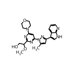 COC(CO)c1nc(N2CCOCC2)cc(-n2nc(-c3c[nH]c4ncccc34)cc2C)n1